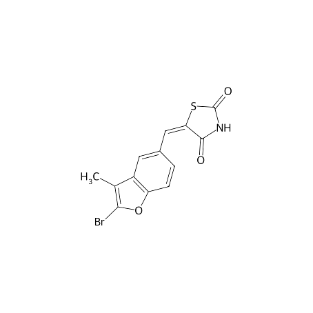 Cc1c(Br)oc2ccc(C=C3SC(=O)NC3=O)cc12